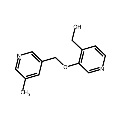 Cc1cncc(COc2cnccc2CO)c1